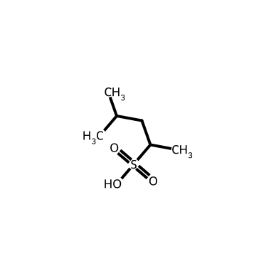 CC(C)CC(C)S(=O)(=O)O